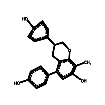 Cc1c(O)cc(-c2ccc(O)cc2)c2c1OCC(c1ccc(O)cc1)C2